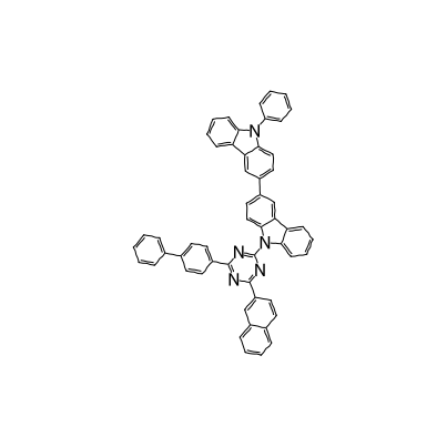 c1ccc(-c2ccc(-c3nc(-c4ccc5ccccc5c4)nc(-n4c5ccccc5c5cc(-c6ccc7c(c6)c6ccccc6n7-c6ccccc6)ccc54)n3)cc2)cc1